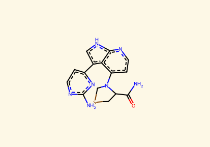 NC(=O)C1CSCN1c1ccnc2[nH]cc(-c3ccnc(N)n3)c12